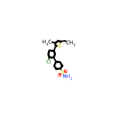 CCc1cc(C)c(-c2ccc(Cl)c(-c3ccc(S(N)(=O)=O)cc3)c2)s1